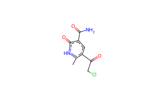 Cc1[nH]c(=O)c(C(N)=O)cc1C(=O)CCl